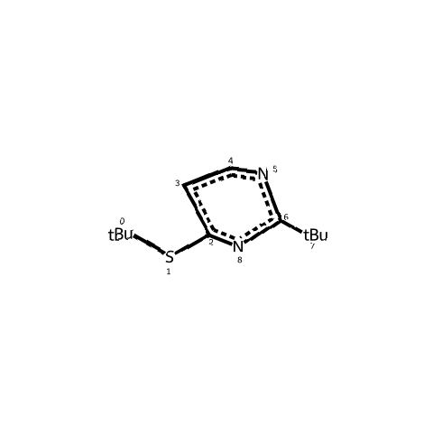 CC(C)(C)Sc1ccnc(C(C)(C)C)n1